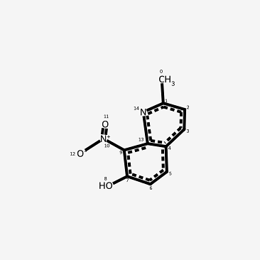 Cc1ccc2ccc(O)c([N+](=O)[O-])c2n1